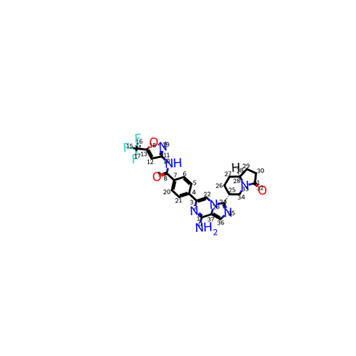 Nc1nc(-c2ccc(C(=O)Nc3cc(C(F)(F)F)on3)cc2)cn2c([C@@H]3CC[C@H]4CCC(=O)N4C3)ncc12